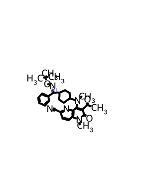 CC(=O)c1c(N(C)C2CCC(/C(=N/OC(C)(C)C)c3ccccc3)CC2)c2nc(C#N)ccc2n(C)c1=O